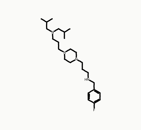 CC(C)CN(CCCN1CCN(CCCNCc2ccc(F)cc2)CC1)CC(C)C